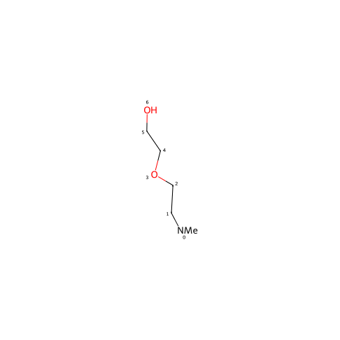 [CH2]NCCOCCO